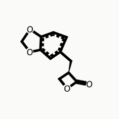 O=C1OC[C@H]1Cc1ccc2c(c1)OCO2